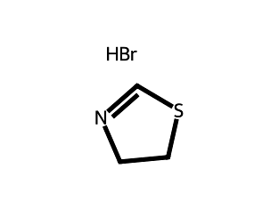 Br.C1=NCCS1